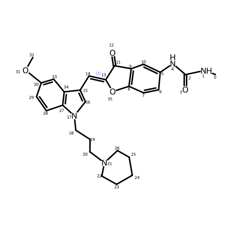 CNC(=O)Nc1ccc2c(c1)C(=O)/C(=C/c1cn(CCCN3CCCCC3)c3ccc(OC)cc13)O2